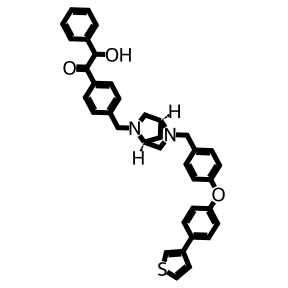 O=C(c1ccc(CN2C[C@@H]3C[C@H]2CN3Cc2ccc(Oc3ccc(-c4ccsc4)cc3)cc2)cc1)C(O)c1ccccc1